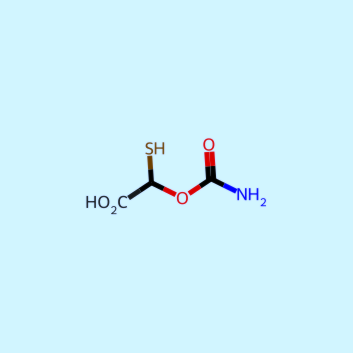 NC(=O)OC(S)C(=O)O